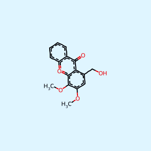 COc1cc(CO)c2c(=O)c3ccccc3oc2c1OC